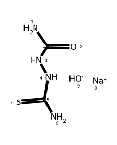 NC(=O)NNC(N)=S.[Na+].[OH-]